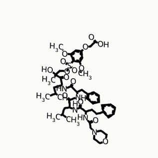 COc1cc(OCC(=O)O)cc(OC)c1S(=O)(=O)OCC(C)(O)C(=O)C(CC(C)C)NC(=O)C(Cc1ccccc1)NC(=O)C(CC(C)C)NC(=O)C(CCc1ccccc1)NC(=O)CN1CCOCC1